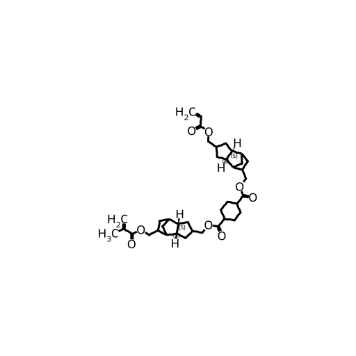 C=CC(=O)OCC1C[C@@H]2C3CC(CC3COC(=O)C3CCC(C(=O)OCC4C[C@@H]5C6CC(CC6COC(=O)C(=C)C)[C@@H]5C4)CC3)[C@@H]2C1